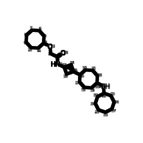 O=C(COC1CCCCCCC1)NC12CC(C3CCCC(BC4CCCCCCC4)CCC3)(C1)C2